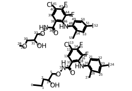 CCCC(O)CONC(=O)c1cc(Cl)c(F)c(F)c1Nc1ccc(I)cc1C.COCC(O)CONC(=O)c1cc(Cl)c(F)c(F)c1Nc1ccc(I)cc1C